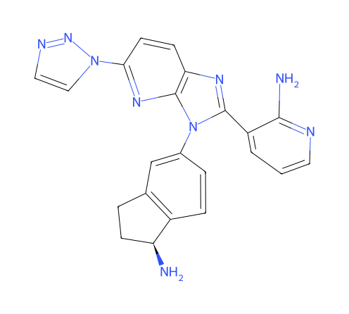 Nc1ncccc1-c1nc2ccc(-n3ccnn3)nc2n1-c1ccc2c(c1)CC[C@@H]2N